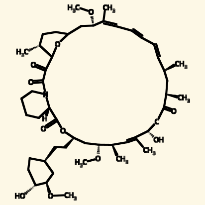 CO[C@H]1CC2CC[C@@H](C)C(O2)C(=O)C(=O)N2CCCC[C@H]2C(=O)O[C@H](CC[C@@H]2CC[C@@H](O)[C@H](OC)C2)C[C@@H](OC)[C@H](C)/C=C(\C)[C@@H](O)CC(=O)[C@H](C)C[C@H](C)/C=C/C=C/C=C/1C